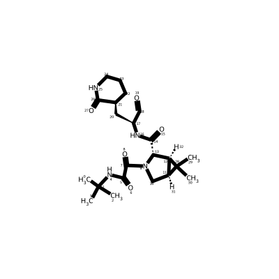 CC(C)(C)NC(=O)C(=O)N1C[C@H]2[C@@H]([C@H]1C(=O)N[C@H](C=O)C[C@@H]1CCCNC1=O)C2(C)C